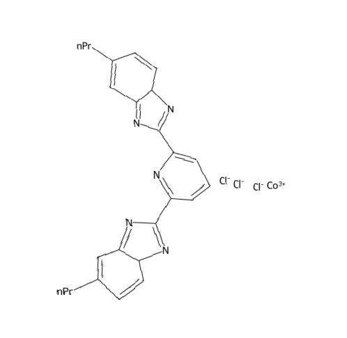 CCCC1=CC2=NC(c3cccc(C4=NC5C=CC(CCC)=CC5=N4)n3)=NC2C=C1.[Cl-].[Cl-].[Cl-].[Co+3]